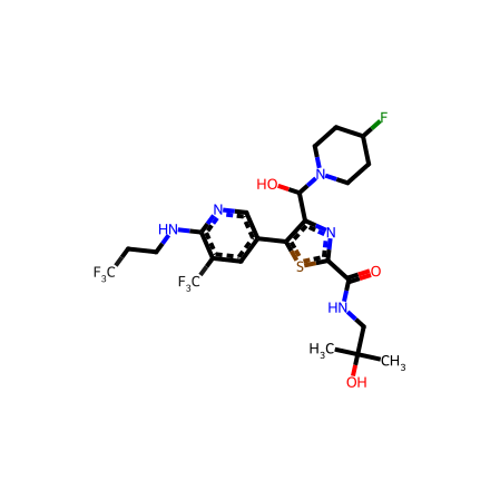 CC(C)(O)CNC(=O)c1nc(C(O)N2CCC(F)CC2)c(-c2cnc(NCCC(F)(F)F)c(C(F)(F)F)c2)s1